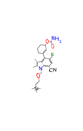 Cc1c(C)n(COCC[Si](C)(C)C)c2c(C#N)cc(F)c(C3=CC(OC(N)=O)CCC3)c12